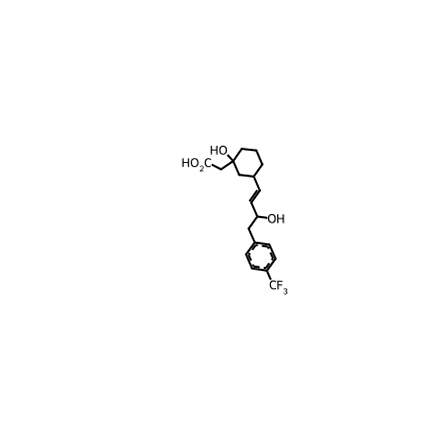 O=C(O)CC1(O)CCCC(C=CC(O)Cc2ccc(C(F)(F)F)cc2)C1